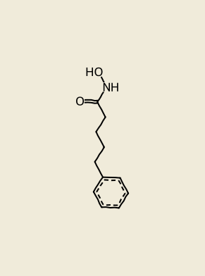 O=C(CCCCc1ccccc1)NO